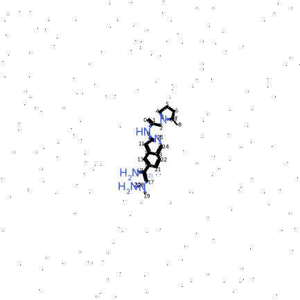 C=C(CN1CCC[C@H]1C)Nc1cc2cc(/C(N)=C/N(C)N)ccc2cn1